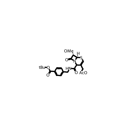 CO[C@H]1C(=O)N2C(C(=O)NCc3ccc(C(=O)OC(C)(C)C)cc3)C(COC(C)=O)=CS[C@H]12